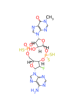 Cn1cnc2c(ncn2[C@@H]2O[C@@H]3OP(=S)(S)O[C@H]4[C@@H](F)[C@H](n5cnc6c(N)ncnc65)O[C@@H]4COP(=O)(S)O[C@@H]2[C@@H]3O)c1=O